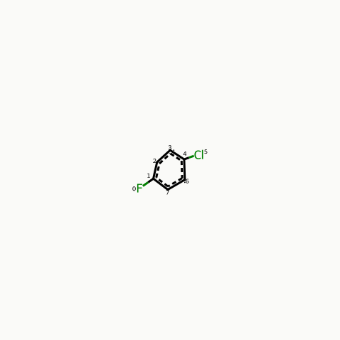 Fc1c[c]c(Cl)[c]c1